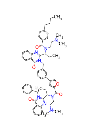 CCCCc1ccc(C(=O)N(CCN(C)C)C(CC)c2nc3ccccc3c(=O)n2Cc2cccc(-c3coc(C(=O)N(CCN(C)C)C(CC)c4nc5ccccc5c(=O)n4Cc4ccccc4)c3)c2)cc1